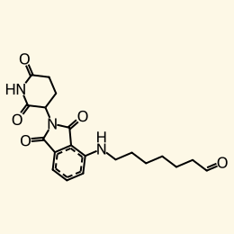 O=CCCCCCCNc1cccc2c1C(=O)N(C1CCC(=O)NC1=O)C2=O